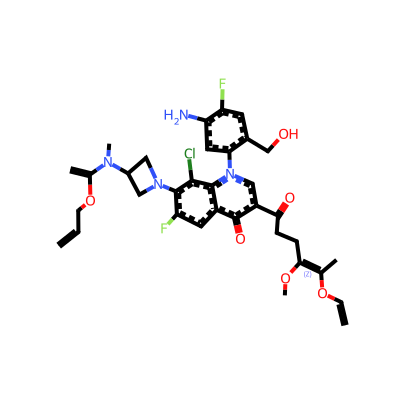 C=CCOC(=C)N(C)C1CN(c2c(F)cc3c(=O)c(C(=O)CC/C(OC)=C(\C)OC=C)cn(-c4cc(N)c(F)cc4CO)c3c2Cl)C1